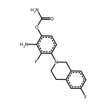 NC(=O)Oc1ccc(N2CCc3cc(F)ccc3C2)c(F)c1N